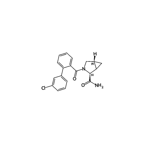 NC(=O)[C@@H]1C2C[C@H]2CN1C(=O)c1ccccc1-c1cccc(Cl)c1